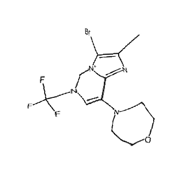 CC1=C(Br)[N+]2CN(C(F)(F)F)C=C(N3CCOCC3)C2=N1